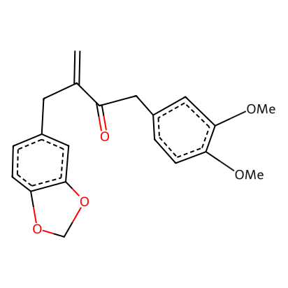 C=C(Cc1ccc2c(c1)OCO2)C(=O)Cc1ccc(OC)c(OC)c1